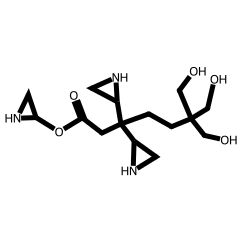 O=C(CC(CCC(CO)(CO)CO)(C1CN1)C1CN1)OC1CN1